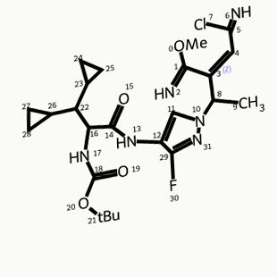 COC(=N)/C(=C\C(=N)Cl)C(C)n1cc(NC(=O)C(NC(=O)OC(C)(C)C)C(C2CC2)C2CC2)c(F)n1